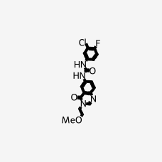 COCCn1cnc2ccc(NC(=O)Nc3ccc(F)c(Cl)c3)cc2c1=O